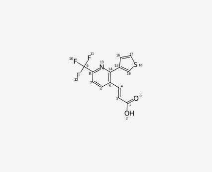 O=C(O)C=Cc1ccc(C(F)(F)F)nc1-c1ccsc1